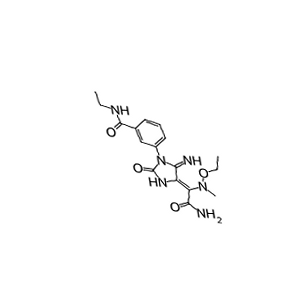 CCNC(=O)c1cccc(N2C(=N)/C(=C(/C(N)=O)N(C)OCC)NC2=O)c1